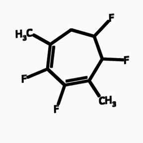 CC1=C(F)C(F)=C(C)C(F)C(F)C1